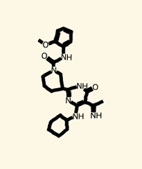 COc1ccccc1NC(=O)N1CCCC(c2nc(NC3CCCCC3)c(C(C)=N)c(=O)[nH]2)C1